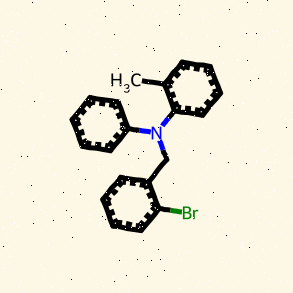 Cc1ccccc1N(Cc1ccccc1Br)c1ccccc1